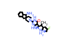 C=C(c1cc(F)cnc1N)c1n[nH]c2nc(N3CCC4(CC3)Cc3ccccc3[C@H]4N)[nH]c(=O)c12